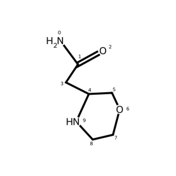 NC(=O)CC1COCCN1